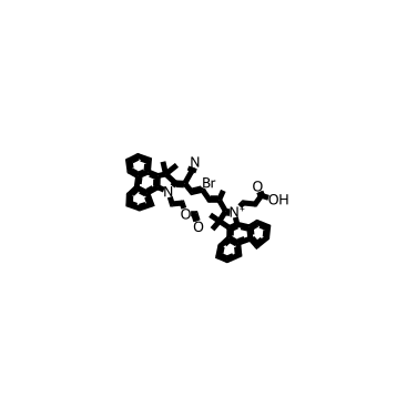 C\C(=C/C(Br)=C/C(C#N)=C1\N(CCOC=O)c2c(c3ccccc3c3ccccc23)C1(C)C)C1=[N+](CCC(=O)O)c2c(c3ccccc3c3ccccc23)C1(C)C